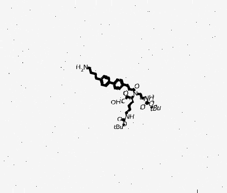 CC(C)(C)OC(=O)NCCCC[C@@H](C(=O)C=O)N(CCNC(=O)OC(C)(C)C)C(=O)CCc1ccc(-c2ccc(CCCCN)cc2)cc1